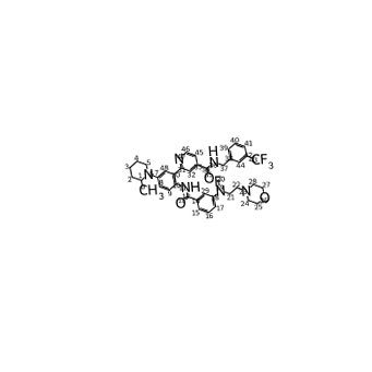 CC1CCCCN1c1ccc(NC(=O)c2cccc(N(F)CCN3CCOCC3)c2)c(-c2cc(C(=O)NCc3cccc(C(F)(F)F)c3)ccn2)c1